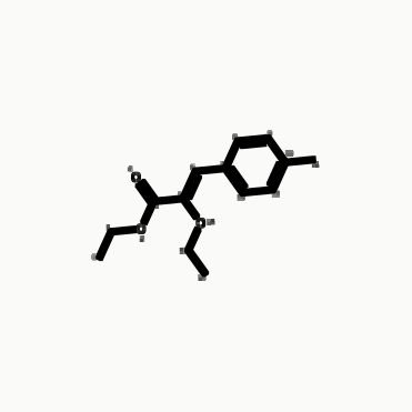 CCOC(=O)/C(=C/c1ccc(C)cc1)OCC